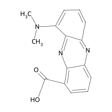 CN(C)c1cccc2nc3cccc(C(=O)O)c3nc12